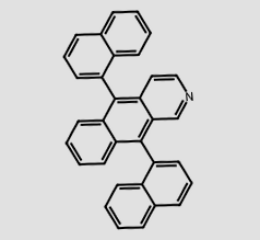 c1ccc2c(-c3c4ccccc4c(-c4cccc5ccccc45)c4cnccc34)cccc2c1